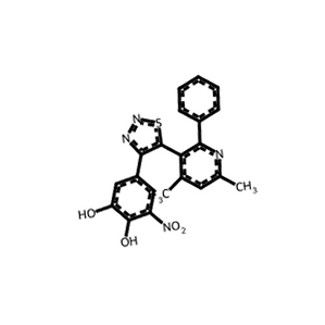 Cc1cc(C(F)(F)F)c(-c2snnc2-c2cc(O)c(O)c([N+](=O)[O-])c2)c(-c2ccccc2)n1